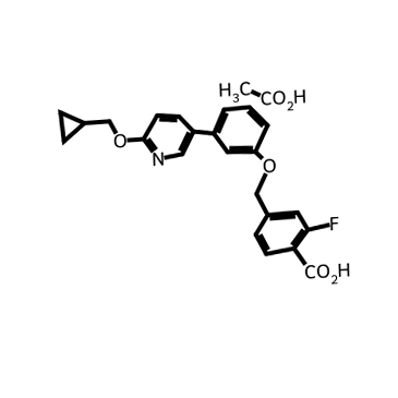 CC(=O)O.O=C(O)c1ccc(COc2cccc(-c3ccc(OCC4CC4)nc3)c2)cc1F